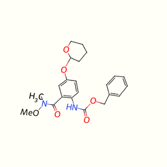 CON(C)C(=O)c1cc(OC2CCCCO2)ccc1NC(=O)OCc1ccccc1